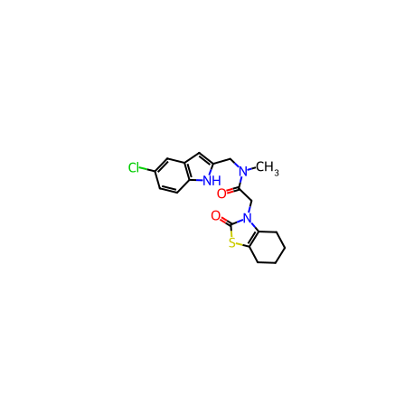 CN(Cc1cc2cc(Cl)ccc2[nH]1)C(=O)Cn1c2c(sc1=O)CCCC2